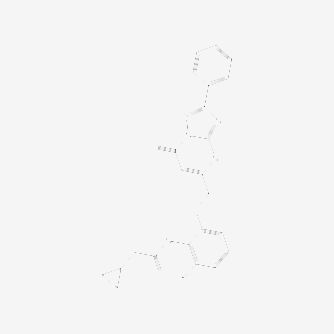 O=C(CC1CC1)Nc1c(Cl)cccc1OCc1cc(=O)n2nc(-c3ccccc3)nc2[nH]1